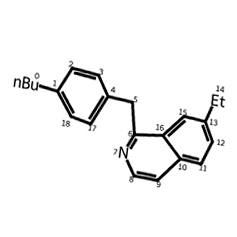 CCCCc1ccc(Cc2nccc3ccc(CC)cc23)cc1